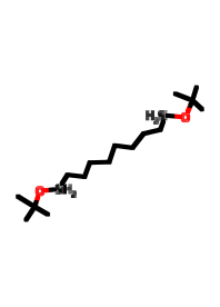 CC(C)(C)O[SiH2]CCCCCCCC[SiH2]OC(C)(C)C